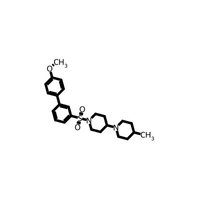 COc1ccc(-c2cccc(S(=O)(=O)N3CCC(N4CCC(C)CC4)CC3)c2)cc1